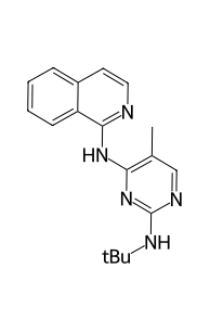 Cc1cnc(NC(C)(C)C)nc1Nc1nccc2ccccc12